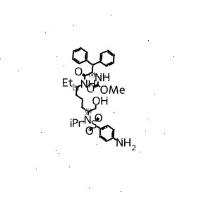 CC[C@@H](CCC[C@@H](CO)N(C(C)C)S(=O)(=O)c1ccc(N)cc1)NC(=O)[C@@H](NC(=O)OC)C(c1ccccc1)c1ccccc1